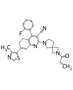 C=CC(=O)N1CC2(CCN(c3nc4c(c(-c5ccccc5F)c3C#N)CCC(c3scnc3C)=C4)C2)C1